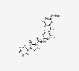 CC(=O)Nc1cc(Oc2ccc(NC(=O)N3CCN(C4CCOCC4)C3=O)nc2C)ccn1